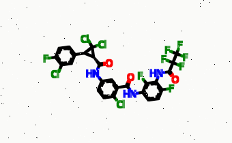 O=C(Nc1ccc(F)c(NC(=O)C(F)(F)C(F)(F)F)c1F)c1cc(NC(=O)[C@H]2C(c3ccc(F)c(Cl)c3)C2(Cl)Cl)ccc1Cl